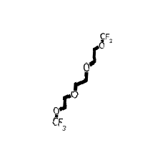 FC(F)(F)OCCOCCOCCOC(F)(F)F